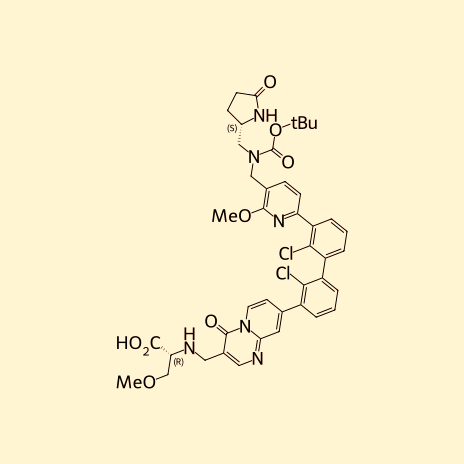 COC[C@@H](NCc1cnc2cc(-c3cccc(-c4cccc(-c5ccc(CN(C[C@@H]6CCC(=O)N6)C(=O)OC(C)(C)C)c(OC)n5)c4Cl)c3Cl)ccn2c1=O)C(=O)O